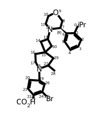 CC(C)c1ccccc1[C@@H]1COCCN1C1CC2(CCN(c3ccc(C(=O)O)c(Br)c3)C(C)C2)C1